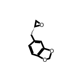 c1cc2c(cc1C[C@@H]1CO1)OCO2